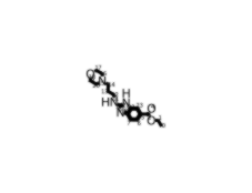 CCOC(=O)c1ccc2nc(NCCCN3CCOCC3)[nH]c2c1